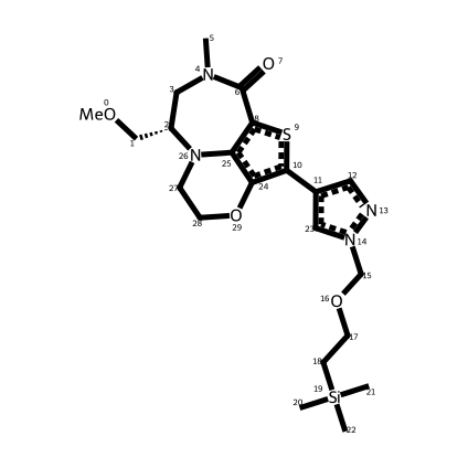 COC[C@@H]1CN(C)C(=O)c2sc(-c3cnn(COCC[Si](C)(C)C)c3)c3c2N1CCO3